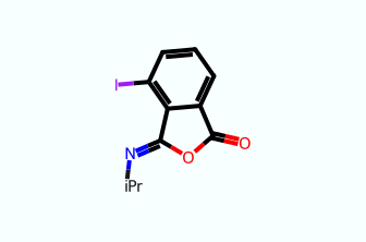 CC(C)N=C1OC(=O)c2cccc(I)c21